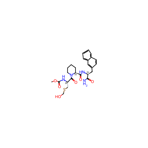 COC(=O)N[C@@H](CSCO)C(=O)N1CCCC[C@H]1C(=O)N[C@@H](Cc1ccc2ccccc2c1)C(N)=O